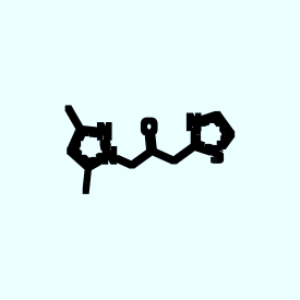 Cc1cc(C)n(CC(=O)Cc2nccs2)n1